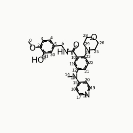 COc1ccc(CNC(=O)c2cc(N(C)c3ccncc3)ccc2N2CCOCC2)cc1O